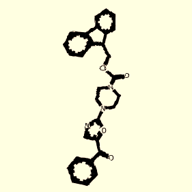 O=C(c1ccccc1)c1cnc(N2CCN(C(=O)OCC3c4ccccc4-c4ccccc43)CC2)o1